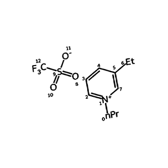 CCC[n+]1cccc(CC)c1.O=S(=O)([O-])C(F)(F)F